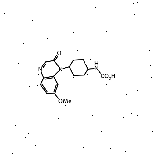 COc1ccc2ncc(=O)n(C3CCC(NC(=O)O)CC3)c2c1